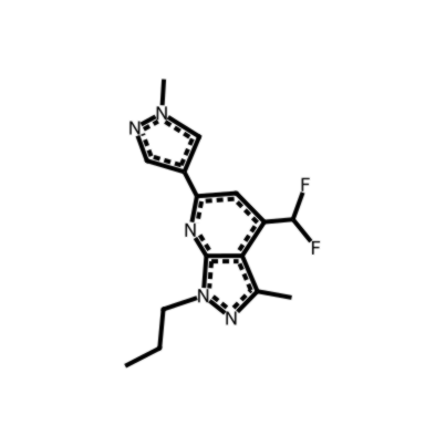 CCCn1nc(C)c2c(C(F)F)cc(-c3cnn(C)c3)nc21